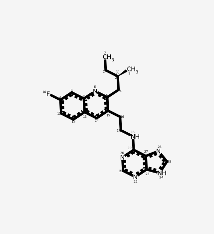 CC[C@@H](C)Cc1nc2cc(F)ccc2cc1CCNc1ncnc2[nH]cnc12